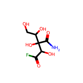 NC(=O)C(O)(C(O)CO)C(O)C(=O)F